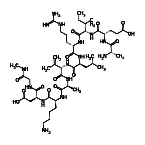 C=C(C)[C@H](NC(=O)[C@H](CC(C)C)NC(=O)[C@H](CCCNC(=N)N)NC(=O)[C@@H](NC(=O)[C@H](CCC(=O)O)NC(=O)[C@H](C)N)C(C)CC)C(=O)N[C@@H](C)C(=O)N[C@@H](CCCCN)C(=O)N[C@@H](CC(=O)O)C(=O)NCC(=O)NC